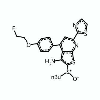 CCCC[S+]([O-])c1sc2nc(-c3nccs3)cc(-c3ccc(OCCF)cc3)c2c1N